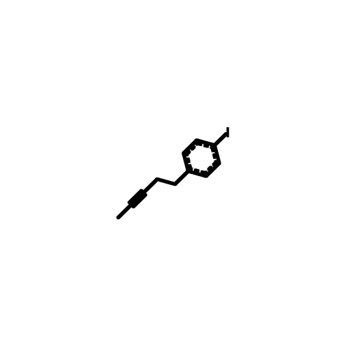 CC#CCCc1ccc(I)cc1